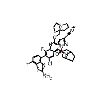 N#Cc1ccn(C(=O)N2C3CCC2CN(c2nc(OC[C@@]45CCCN4C[C@H](F)C5)nc4c(F)c(-c5ccc(F)c6sc(N)nc56)c(Cl)cc24)C3)n1